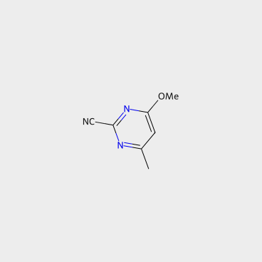 COc1cc(C)nc(C#N)n1